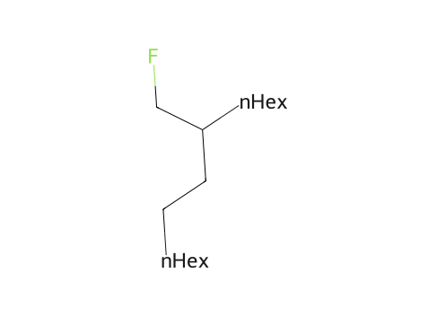 CCCCCCCCC(CF)CCCCCC